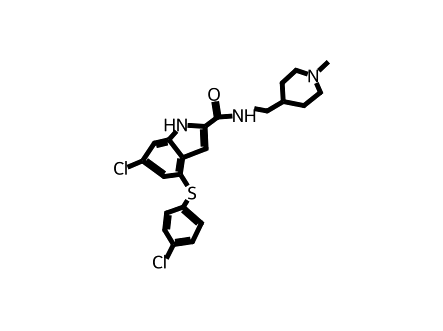 CN1CCC(CCNC(=O)c2cc3c(Sc4ccc(Cl)cc4)cc(Cl)cc3[nH]2)CC1